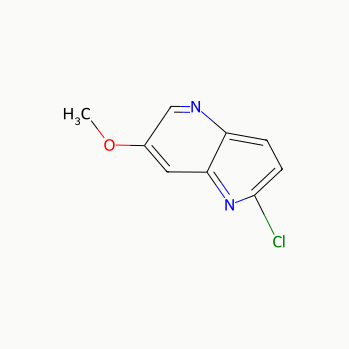 COc1cnc2ccc(Cl)nc2c1